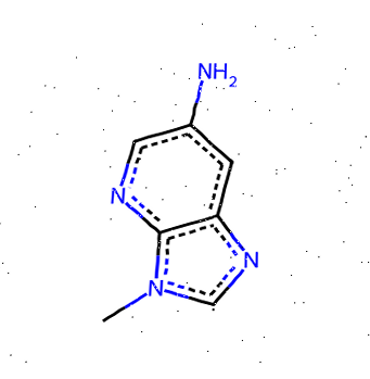 Cn1[c]nc2cc(N)cnc21